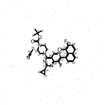 CC(C)(C)OC(=O)N1CCN(c2nc(C3CC3)nc3c(F)c(-c4cccc5ccc(F)c(Cl)c45)ncc23)C[C@@H]1CC#N